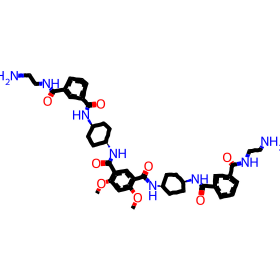 COc1cc(OC)c(C(=O)N[C@H]2CC[C@H](NC(=O)c3cccc(C(=O)NCCN)c3)CC2)cc1C(=O)N[C@H]1CC[C@H](NC(=O)c2cccc(C(=O)NCCN)c2)CC1